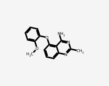 COc1ccccc1Oc1cccc2nc(C)nc(N)c12